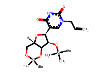 C=CCn1cc([C@@H]2O[C@@H]3CO[Si](C(C)(C)C)(C(C)(C)C)OC3[C@@H]2O[Si](C)(C)C(C)(C)C)c(=O)[nH]c1=O